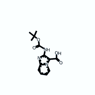 CC(C)(C)OC(=O)Nc1nc2ccccn2c1C(=O)O